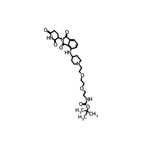 CC(C)(C)OC(=O)NCCOCCOCCN1CCC(Nc2cccc3c2C(=O)N(C2CCC(=O)NC2=O)C3=O)CC1